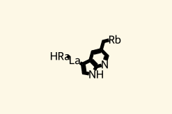 [Rb][CH2]c1cnc2[nH]c[c]([La][RaH])c2c1